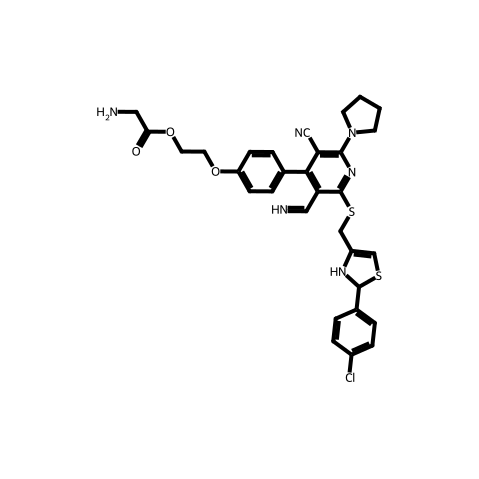 N#Cc1c(N2CCCC2)nc(SCC2=CSC(c3ccc(Cl)cc3)N2)c(C=N)c1-c1ccc(OCCOC(=O)CN)cc1